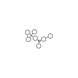 C1CCC(C2CCC(N(C3CCCCC3)C3CCC(C4(C5CCCCC5)C5CCCCC5C5CCCCC54)CC3)CC2)CC1